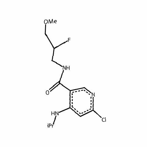 COCC(F)CNC(=O)c1cnc(Cl)cc1NC(C)C